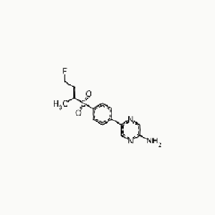 CC(CCF)S(=O)(=O)c1ccc(-c2cnc(N)cn2)cc1